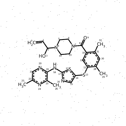 C=CC(O)N1CCN(C(=O)c2cc(Sc3cnc(Nc4ncc(C)nc4C)s3)c(C)cc2C)CC1